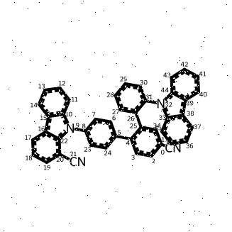 N#Cc1ccc(-c2ccc(-n3c4ccccc4c4cccc(C#N)c43)cc2)c(-c2ccccc2-n2c3ccccc3c3ccccc32)c1